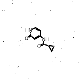 O=C(Nc1cc[nH]c(=O)c1)C1CC1